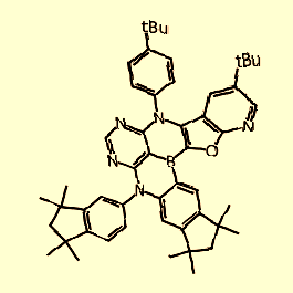 CC(C)(C)c1ccc(N2c3ncnc4c3B(c3cc5c(cc3N4c3ccc4c(c3)C(C)(C)CC4(C)C)C(C)(C)CC5(C)C)c3oc4ncc(C(C)(C)C)cc4c32)cc1